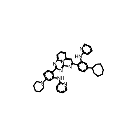 C1=CC2=CC(c3ccc(C4CCCCCC4)cc3Nc3ccccn3)=NC3=NC(c4ccc(N5CCCCC5)cc4Nc4ccccn4)=NC(=C1)N23